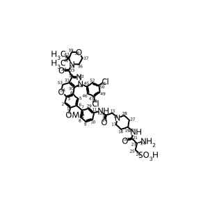 COc1cc2c(cc1-c1cccc(NC(=O)CN3CCC(NC(=O)[C@@H](N)CS(=O)(=O)O)CC3)c1)-c1c(c(C(=O)N3CCOCC3(C)C)nn1-c1cc(Cl)cc(Cl)c1)CO2